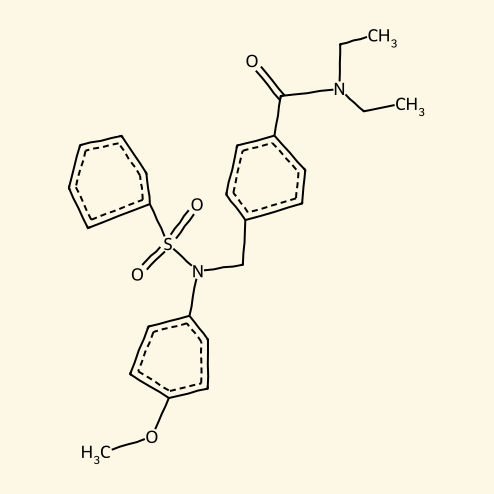 CCN(CC)C(=O)c1ccc(CN(c2ccc(OC)cc2)S(=O)(=O)c2ccccc2)cc1